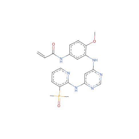 C=CC(=O)Nc1ccc(OC)c(Nc2cc(Nc3ncccc3P(C)(C)=O)ncn2)c1